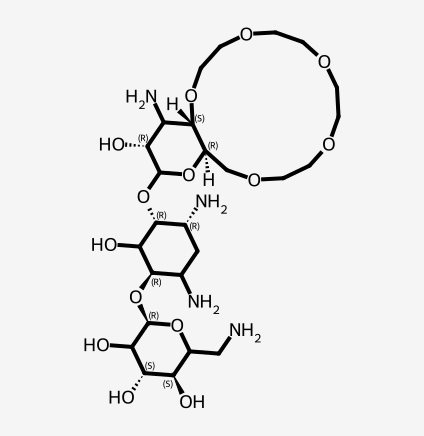 NCC1O[C@H](O[C@@H]2C(N)C[C@@H](N)[C@@H](OC3O[C@@H]4COCCOCCOCCOCCO[C@H]4C(N)[C@H]3O)C2O)C(O)[C@@H](O)[C@@H]1O